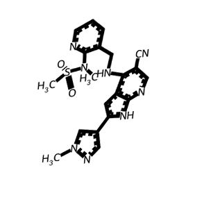 CN(c1ncccc1CNc1c(C#N)cnc2[nH]c(-c3cnn(C)c3)cc12)S(C)(=O)=O